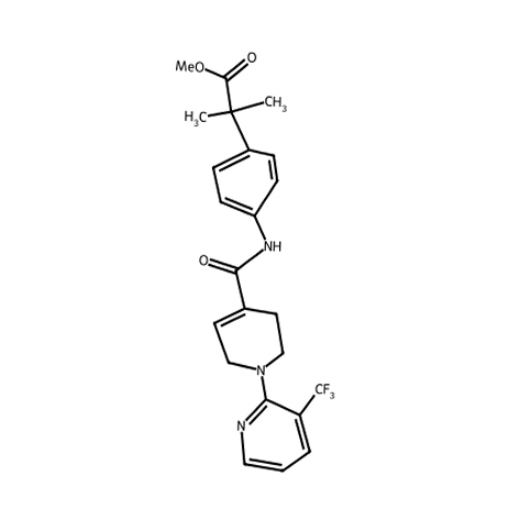 COC(=O)C(C)(C)c1ccc(NC(=O)C2=CCN(c3ncccc3C(F)(F)F)CC2)cc1